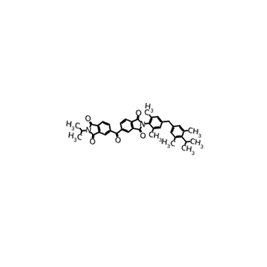 Cc1cc(Cc2cc(C)c(N3C(=O)c4ccc(C(=O)c5ccc6c(c5)C(=O)N(C(C)C)C6=O)cc4C3=O)c(C)c2)cc(C)c1C(C)C